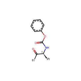 CCC(=O)[C@@H](NC(=O)Oc1ccccc1)C(C)C